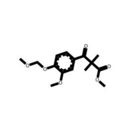 COCOc1ccc(C(=O)C(C)(C)C(=O)OC)cc1OC